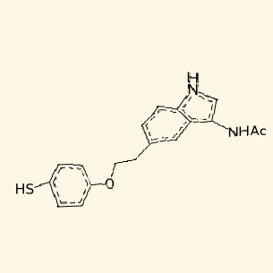 CC(=O)Nc1c[nH]c2ccc(CCOc3ccc(S)cc3)cc12